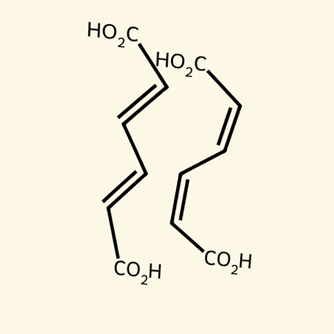 O=C(O)/C=C/C=C/C(=O)O.O=C(O)/C=C\C=C/C(=O)O